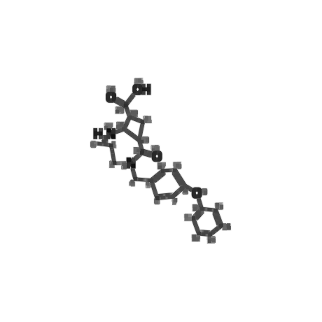 CCCN(Cc1ccc(Oc2ccccc2)cc1)C(=O)C1CC(C(=O)O)C1N